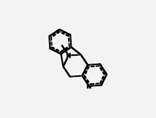 CN1C2Cc3ncccc3C1c1ccccc12